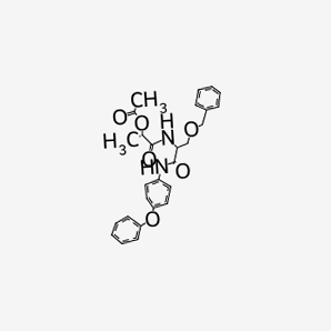 CC(=O)O[C@@H](C)C(=O)NC(COCc1ccccc1)C(=O)Nc1ccc(Oc2ccccc2)cc1